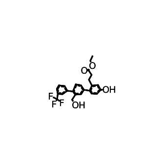 CCOC(=O)CCc1cc(O)ccc1-c1ccc(-c2cccc(C(F)(F)F)c2)c(CO)c1